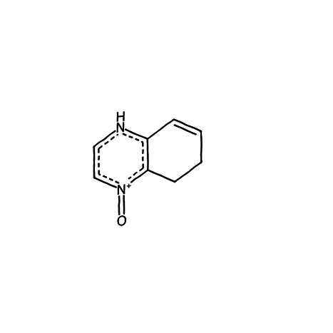 O=[n+]1cc[nH]c2c1CCC=C2